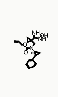 C=CCOC(=O)N(CC1(C(=N)NO)CC1)[C@@H]1CC1c1ccccc1